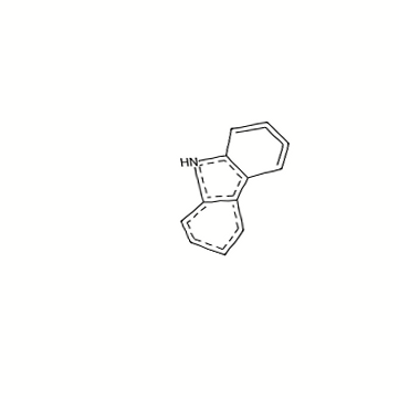 C1=C=Cc2c([nH]c3ccccc23)C=1